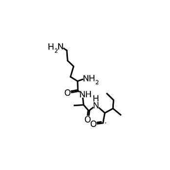 CCC(C)C([C]=O)NC(=O)C(C)NC(=O)C(N)CCCCN